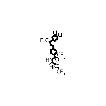 C[C@@H](NC(=O)c1ccc(/C=C/C(c2ccc(Cl)c(Cl)c2)C(F)(F)F)cc1C(F)(F)F)C(=O)NCC(F)(F)F